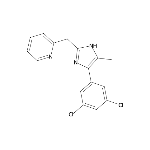 Cc1[nH]c(Cc2ccccn2)nc1-c1cc(Cl)cc(Cl)c1